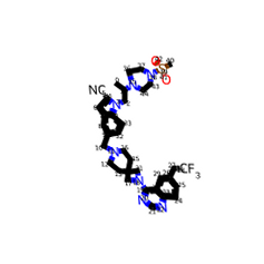 CC(Cn1c(C#N)cc2cc(CN3CCC4(CC3)CN(c3ncnc5ccc(CC(F)(F)F)cc35)C4)ccc21)N1CCN(S(C)(=O)=O)CC1